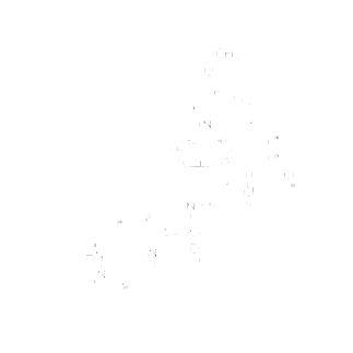 COC(=O)CN1C(=O)C2(CCN(C(=O)c3ccc4[nH]ncc4n3)CC2)c2c1ccc(Cl)c2Cl